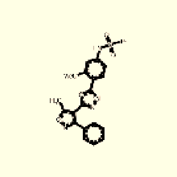 COc1cc(NS(=O)(=O)C(C)C)ccc1-c1nnc(-c2c(-c3ccccc3)noc2C)o1